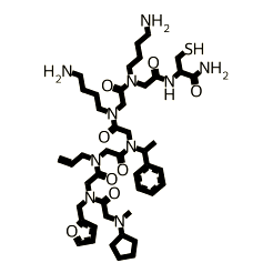 C=CCN(CC(=O)N(CC(=O)N(CCCCN)CC(=O)N(CCCCN)CC(=O)NC(CS)C(N)=O)C(C)c1ccccc1)C(=O)CN(Cc1ccco1)C(=O)CN(C)C1CCCC1